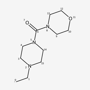 [CH2]CN1CCN(C(=O)N2CCOCC2)CC1